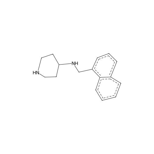 c1ccc2c(CNC3CCNCC3)cccc2c1